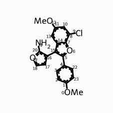 COc1ccc(-c2oc3c(Cl)cc(OC)cc3c2-c2ccoc2N)cc1